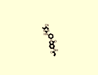 C=CC(=O)Nc1ccc2c(c1)C(=O)N([C@H]1CCC[C@@H](Nc3ncc(C#N)c(C)n3)C1)C2